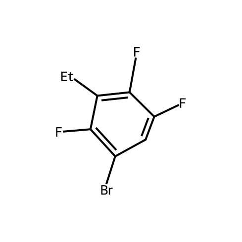 CCc1c(F)c(F)cc(Br)c1F